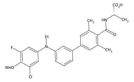 CCN(c1cccc(-c2cc(C)c(C(=O)N[C@@H](C)C(=O)O)c(C)c2)c1)c1cc(F)c(OC)c(Cl)c1